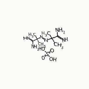 CC(C)(N=NC(C)(C)C(=N)N)C(=N)N.O=S(=O)(O)O